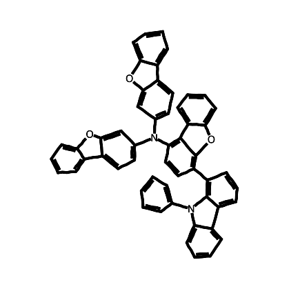 c1ccc(-n2c3ccccc3c3cccc(-c4ccc(N(c5ccc6c(c5)oc5ccccc56)c5ccc6c(c5)oc5ccccc56)c5c4oc4ccccc45)c32)cc1